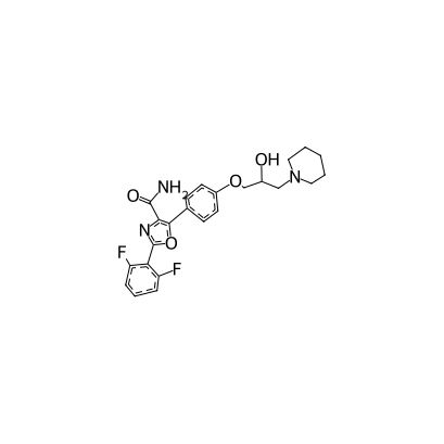 NC(=O)c1nc(-c2c(F)cccc2F)oc1-c1ccc(OCC(O)CN2CCCCC2)cc1